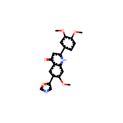 COc1ccc(-c2cc(=O)c3cc(-c4cnco4)c(OC)cc3[nH]2)cc1OC